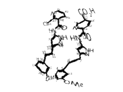 COc1cccc(CCc2cc(NC(=O)c3ccc(C(=O)O)cn3)[nH]n2)c1.COc1cccc(CCc2cc(NC(=O)c3cccnc3Cl)[nH]n2)c1